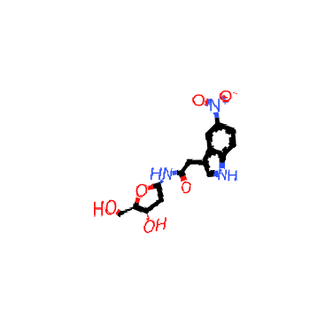 O=C(Cc1c[nH]c2ccc([N+](=O)[O-])cc12)N[C@H]1C[C@H](O)[C@@H](CO)O1